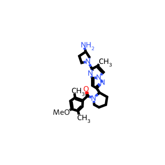 COc1cc(C)c(C(=O)N2CCCCC2c2cc3nc(N4CCC(N)C4)c(C)cn3n2)cc1C